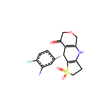 O=C1COCC2=C1[C@@H](c1ccc(F)c(I)c1)C1=C(CCS1(=O)=O)N2